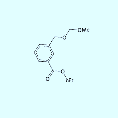 CCCOC(=O)c1cccc(COCOC)c1